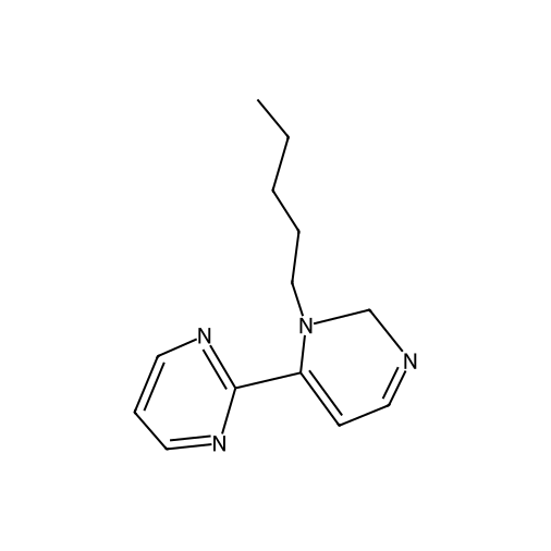 CCCCCN1CN=CC=C1c1ncccn1